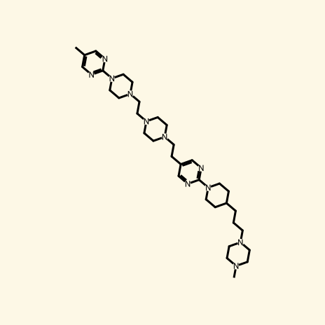 Cc1cnc(N2CCN(CCN3CCN(CCc4cnc(N5CCC(CCCN6CCN(C)CC6)CC5)nc4)CC3)CC2)nc1